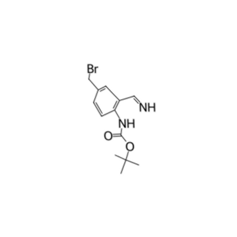 CC(C)(C)OC(=O)Nc1ccc(CBr)cc1C=N